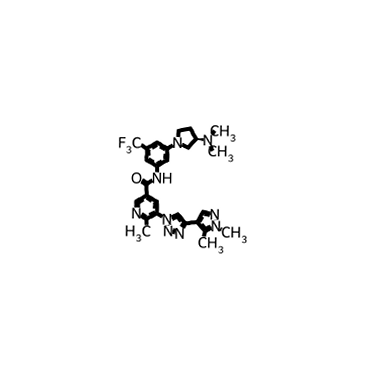 Cc1ncc(C(=O)Nc2cc(N3CC[C@@H](N(C)C)C3)cc(C(F)(F)F)c2)cc1-n1cc(-c2cnn(C)c2C)nn1